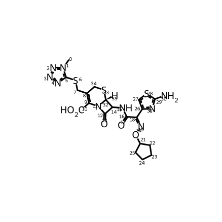 Cn1nnnc1SCC1=C(C(=O)O)N2C(=O)C(NC(=O)/C(=N\OC3CCCC3)c3csc(N)n3)[C@H]2SC1